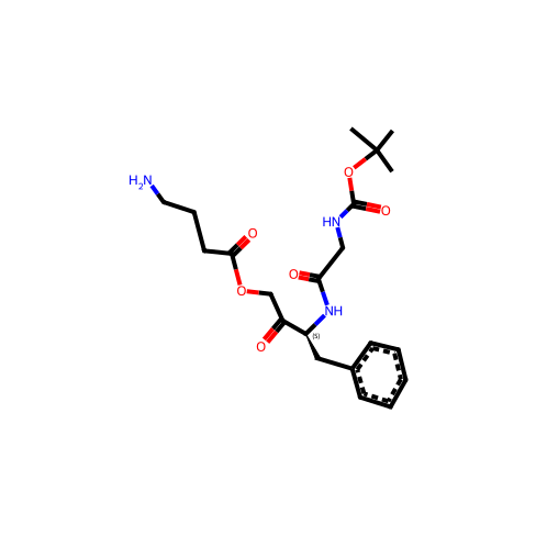 CC(C)(C)OC(=O)NCC(=O)N[C@@H](Cc1ccccc1)C(=O)COC(=O)CCCN